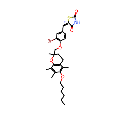 CCCCCCOc1c(C)c(C)c2c(c1C)CCC(C)(COc1ccc(/C=C3/SC(=O)NC3=O)cc1Br)O2